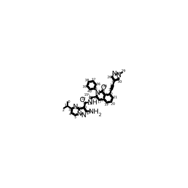 CC(C)c1ccn2nc(N)c(C(=O)N[C@H](C)c3cc4cccc(C#Cc5cnn(C)c5)c4c(=O)n3-c3ccccc3)c2n1